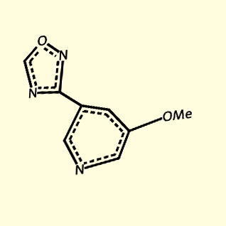 COc1cncc(-c2ncon2)c1